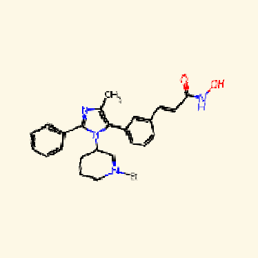 CCN1CCCC(n2c(-c3ccccc3)nc(C)c2-c2cccc(/C=C/C(=O)NO)c2)C1